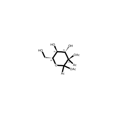 CC(=O)OC1(C(C)=O)O[C@H](CO)[C@@H](O)[C@H](O)[C@]1(OC(C)=O)C(C)=O